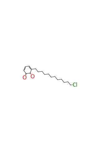 O=C1C=CC=C(CCCCCCCCCCCCCl)C1=O